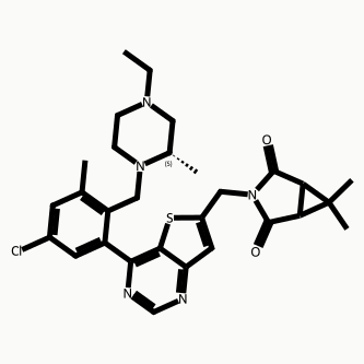 CCN1CCN(Cc2c(C)cc(Cl)cc2-c2ncnc3cc(CN4C(=O)C5C(C4=O)C5(C)C)sc23)[C@@H](C)C1